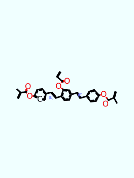 C=CC(=O)Oc1cc(/C=C/c2ccc(OC(=O)C(=C)C)cc2)ccc1/C=C/c1ccc(OC(=O)C(=C)C)cc1